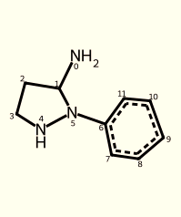 NC1CCNN1c1ccccc1